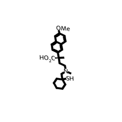 COc1ccc2cc([C@](C)(CCN(C)CC3(S)CCCCC3)C(=O)O)ccc2c1